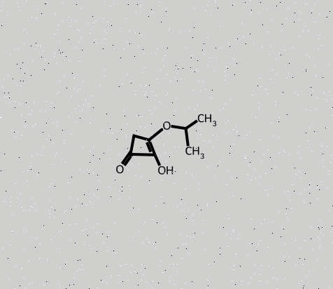 CC(C)OC1=C(O)C(=O)C1